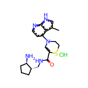 Cc1c[nH]c2nccc(N3C=C(C(=O)NC[C@@H]4CCC[C@H]4N)SCC3)c12.Cl